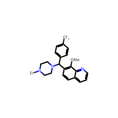 CCN1CCN(C(c2ccc(C(F)(F)F)cc2)c2ccc3cccnc3c2OC)CC1